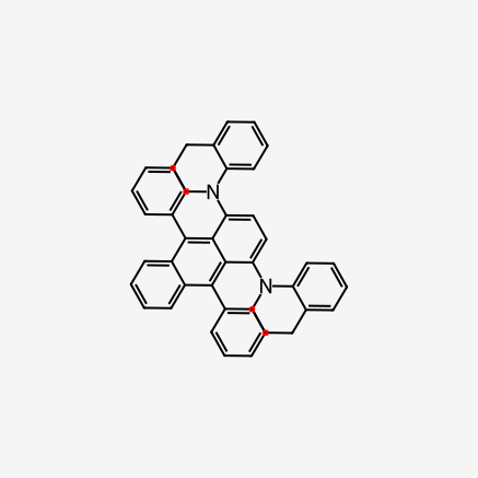 c1ccc(-c2c3ccccc3c(-c3ccccc3)c3c(N4CCCc5ccccc54)ccc(N4CCCc5ccccc54)c23)cc1